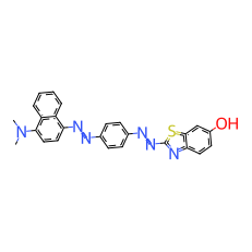 CN(C)c1ccc(N=Nc2ccc(N=Nc3nc4ccc(O)cc4s3)cc2)c2ccccc12